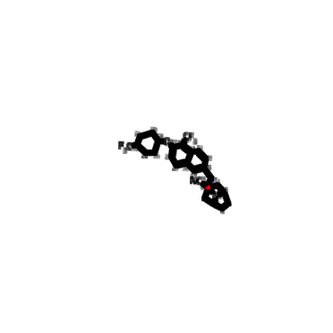 N#CC1CC2CCC(C1)N2CCc1ccc2c(C(F)(F)F)c(OC3CCC(C(F)(F)F)CC3)ccc2c1